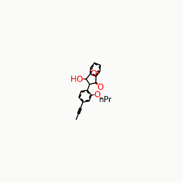 CC#Cc1ccc(C2C(=O)c3c(c4ccc3o4)C2O)c(OCCC)c1